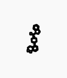 O=C(C1CCc2ccccc21)N1CCN(c2cccc3c2CCOO3)CC1